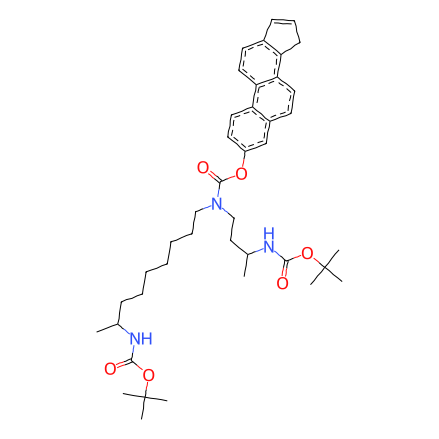 CC(CCCCCCCN(CCC(C)NC(=O)OC(C)(C)C)C(=O)Oc1ccc2c(ccc3c4c(ccc32)C=CC4)c1)NC(=O)OC(C)(C)C